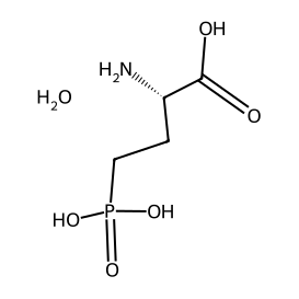 N[C@@H](CCP(=O)(O)O)C(=O)O.O